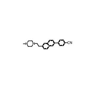 CN1CCN(CCc2ccc3cc(-c4ccc(C#N)cc4)ccc3c2)CC1